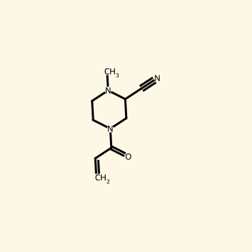 C=CC(=O)N1CCN(C)C(C#N)C1